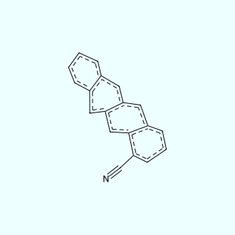 N#Cc1cccc2cc3cc4ccccc4cc3cc12